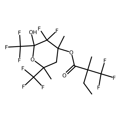 CCC(C)(C(=O)OC1(C)CC(C)(C(F)(F)F)OC(O)(C(F)(F)F)C1(F)F)C(F)(F)F